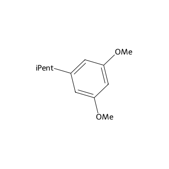 CCCC(C)c1cc(OC)cc(OC)c1